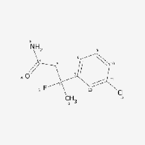 CC(F)(CC(N)=O)c1cccc(Cl)c1